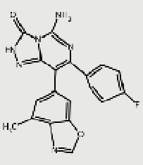 Cc1cc(-c2c(-c3ccc(F)cc3)nc(N)n3c(=O)[nH]nc23)cc2ocnc12